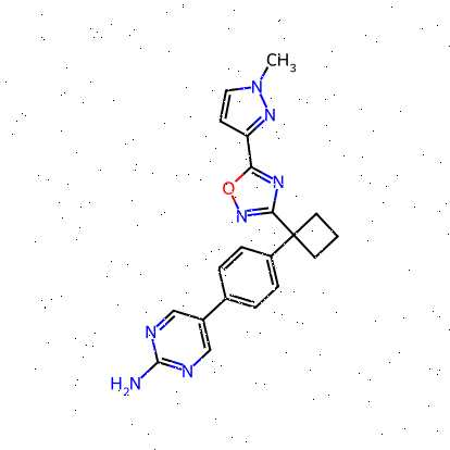 Cn1ccc(-c2nc(C3(c4ccc(-c5cnc(N)nc5)cc4)CCC3)no2)n1